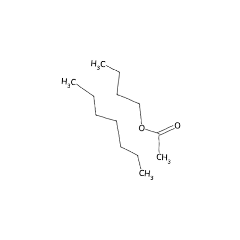 CCCCCCC.CCCCOC(C)=O